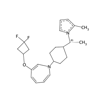 Cc1cccn1[C@H](C)C1CCC(N2C=CC=CC(OC3CC(F)(F)C3)=C2)CC1